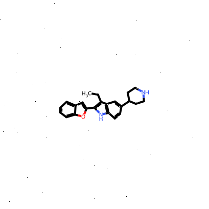 CCc1c(-c2cc3ccccc3o2)[nH]c2ccc(C3CCNCC3)cc12